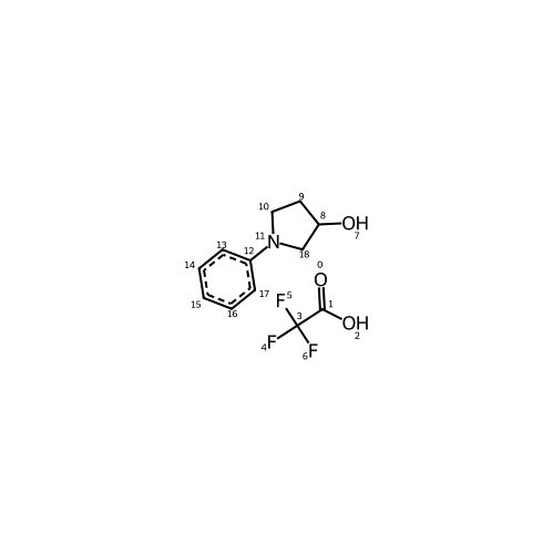 O=C(O)C(F)(F)F.OC1CCN(c2ccccc2)C1